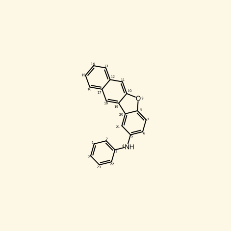 c1ccc(Nc2ccc3oc4cc5ccccc5cc4c3c2)cc1